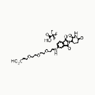 O=C(O)C(F)(F)F.O=C(O)CCOCCOCCOCCNc1ccc2c(c1)C(=O)N(C1CCC(=O)NC1=O)C2=O